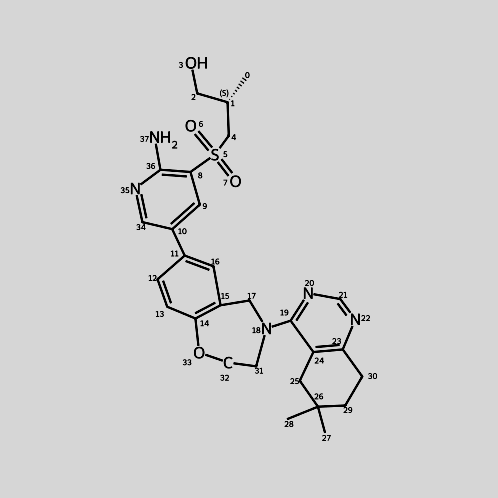 C[C@@H](CO)CS(=O)(=O)c1cc(-c2ccc3c(c2)CN(c2ncnc4c2CC(C)(C)CC4)CCO3)cnc1N